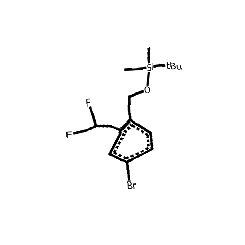 CC(C)(C)[Si](C)(C)OCc1ccc(Br)cc1C(F)F